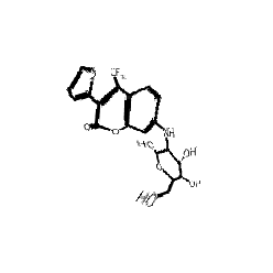 O=c1oc2cc(NC3C(O)OC(CO)[C@H](O)[C@H]3O)ccc2c(C(F)(F)F)c1-c1cccs1